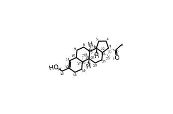 CC(=O)[C@H]1CC[C@H]2[C@@H]3CCC4C=C(CO)CC[C@]4(C)[C@H]3CC[C@]12C